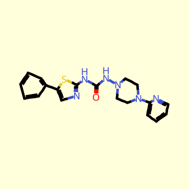 O=C(Nc1ncc(-c2ccccc2)s1)NN1CCN(c2ccccn2)CC1